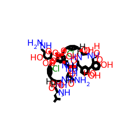 CN[C@@H](CC(C)C)C(=O)N[C@H]1C(=O)N[C@@H](CC(N)=O)C(=O)N[C@H]2C(=O)N[C@H]3C(=O)N[C@H](C(=O)N[C@@H](C(=O)O)c4cc(O)cc(O)c4-c4cc3ccc4O)[C@H](O)c3ccc(c(Cl)c3)Oc3cc2cc(c3OC2OC(CNN)C(O)C(O)C2OC2CC(C)(N)C(O)C(C)O2)Oc2ccc(cc2Cl)[C@H]1O